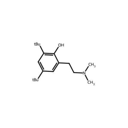 CN(C)CCc1cc(C(C)(C)C)cc(C(C)(C)C)c1O